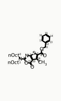 CCCCCCCCN(CCCCCCCC)c1nc2sc(C(=O)OCc3ccccc3)c(C)c2c(=O)o1